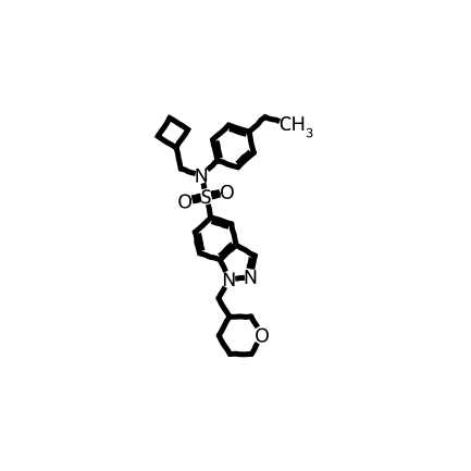 CCc1ccc(N(CC2CCC2)S(=O)(=O)c2ccc3c(cnn3CC3CCCOC3)c2)cc1